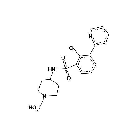 O=C(O)N1CCC(NS(=O)(=O)c2cccc(-c3ccccn3)c2Cl)CC1